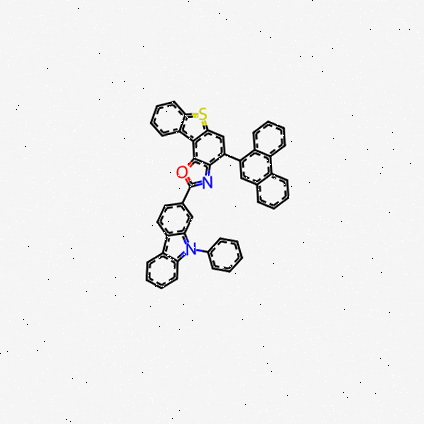 c1ccc(-n2c3ccccc3c3ccc(-c4nc5c(-c6cc7ccccc7c7ccccc67)cc6sc7ccccc7c6c5o4)cc32)cc1